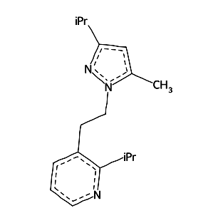 Cc1cc(C(C)C)nn1CCc1cccnc1C(C)C